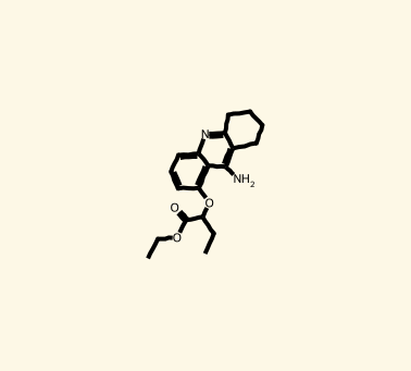 CCOC(=O)C(CC)Oc1cccc2nc3c(c(N)c12)CCCC3